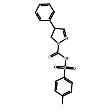 O=C(NS(=O)(=O)c1ccc(I)cc1)N1CC(c2ccccc2)C=N1